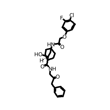 O=C(CNC(=O)C12CCC(NC(=O)COc3ccc(Cl)c(F)c3)(CC1)C[C@@H]2O)Cc1ccccc1